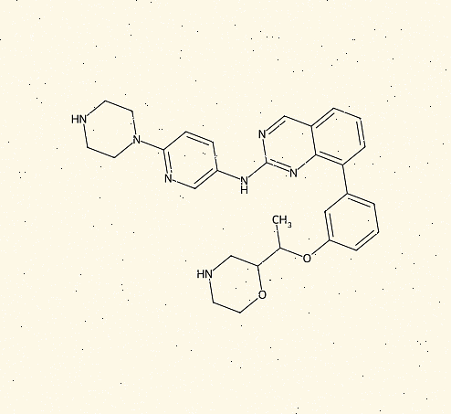 CC(Oc1cccc(-c2cccc3cnc(Nc4ccc(N5CCNCC5)nc4)nc23)c1)C1CNCCO1